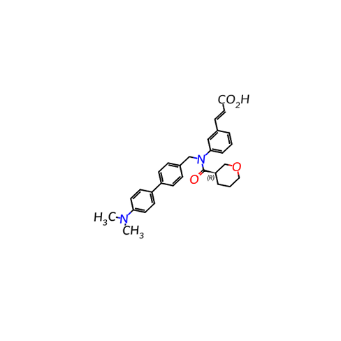 CN(C)c1ccc(-c2ccc(CN(C(=O)[C@@H]3CCCOC3)c3cccc(C=CC(=O)O)c3)cc2)cc1